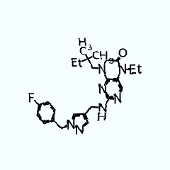 CCN1C(=O)CN(CC(C)(C)CC)c2nc(NCc3cnn(Cc4ccc(F)cc4)c3)ncc21